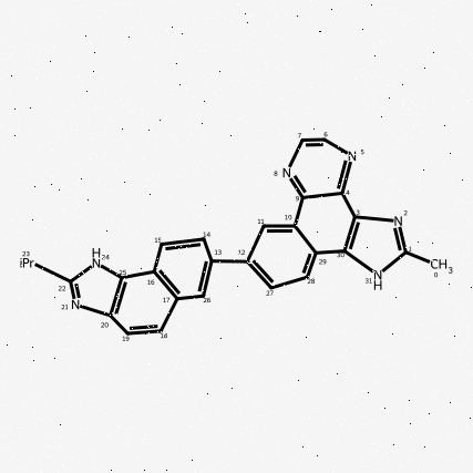 Cc1nc2c3nccnc3c3cc(-c4ccc5c(ccc6nc(C(C)C)[nH]c65)c4)ccc3c2[nH]1